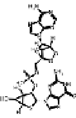 Nc1nc2c(ncn2[C@@H]2S[C@@H]3C(O)[C@]3(O)[C@H]2OP(O)(=S)OC[C@@]23OO[C@@H]([C@H](n4cnc5c(N)ncnc54)O2)[C@@H]3O)c(=O)[nH]1